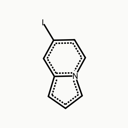 Ic1ccn2cccc2c1